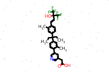 CCC(CC)(c1ccc(/C=C/C(O)(C(F)(F)F)C(F)(F)F)c(C)c1)c1ccc(-c2cncc(CC(=O)O)c2)c(C)c1